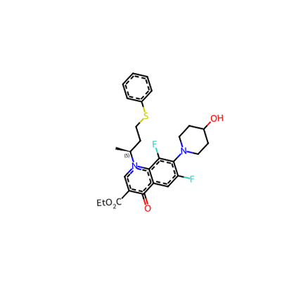 CCOC(=O)c1cn([C@@H](C)CCSc2ccccc2)c2c(F)c(N3CCC(O)CC3)c(F)cc2c1=O